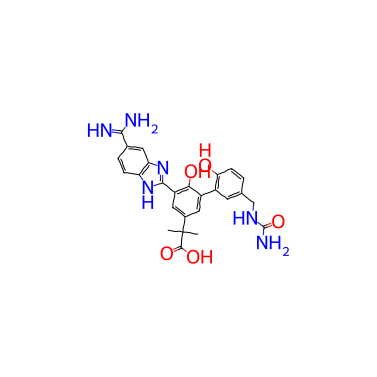 CC(C)(C(=O)O)c1cc(-c2nc3cc(C(=N)N)ccc3[nH]2)c(O)c(-c2cc(CNC(N)=O)ccc2O)c1